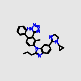 CCCc1nc2ccc(C3=NCCN3C3CC3)cc2n1-c1ccc(-c2ccccc2)c(-c2nnn[nH]2)c1C